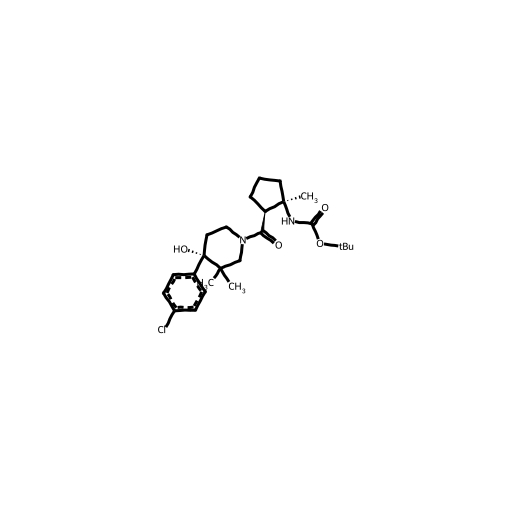 CC(C)(C)OC(=O)N[C@]1(C)CCC[C@@H]1C(=O)N1CC[C@](O)(c2ccc(Cl)cc2)C(C)(C)C1